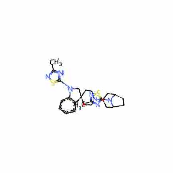 Cc1nsc(N2CC3(CCN(C4CC5CCC(C4)N5c4nc(C)ns4)CC3)c3ccccc32)n1